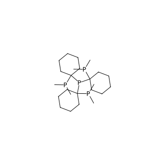 CP(C)C1(P(C2(P(C)C)CCCCC2)C2(P(C)C)CCCCC2)CCCCC1